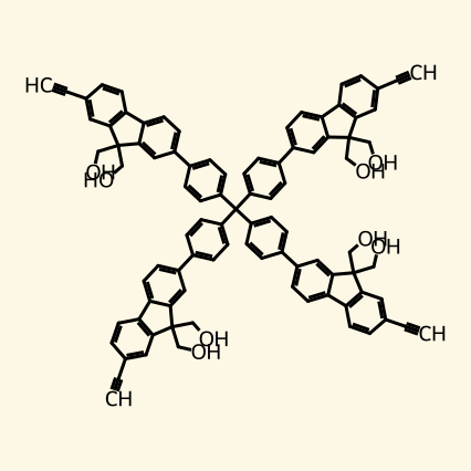 C#Cc1ccc2c(c1)C(CO)(CO)c1cc(-c3ccc(C(c4ccc(-c5ccc6c(c5)C(CO)(CO)c5cc(C#C)ccc5-6)cc4)(c4ccc(-c5ccc6c(c5)C(CO)(CO)c5cc(C#C)ccc5-6)cc4)c4ccc(-c5ccc6c(c5)C(CO)(CO)c5cc(C#C)ccc5-6)cc4)cc3)ccc1-2